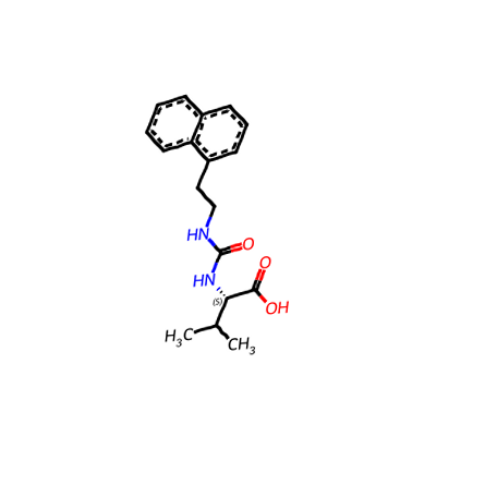 CC(C)[C@H](NC(=O)NCCc1cccc2ccccc12)C(=O)O